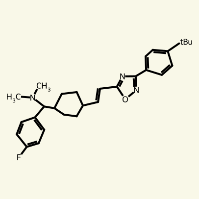 CN(C)C(c1ccc(F)cc1)C1CCC(/C=C/c2nc(-c3ccc(C(C)(C)C)cc3)no2)CC1